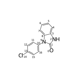 O=c1[nH]c2c[c]ccc2n1-c1ccc(Cl)cc1